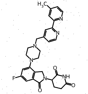 Cc1ccnc(-c2cc(CN3CCN(c4cc(F)cc5c4CN(C4CCC(=O)NC4=O)C5=O)CC3)ccn2)c1